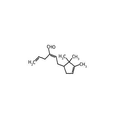 C=CCC(C=O)=CCC1CC=C(C)C1(C)C